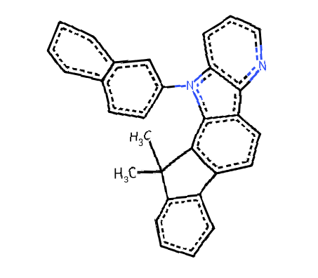 CC1(C)c2ccccc2-c2ccc3c4ncccc4n(-c4ccc5ccccc5c4)c3c21